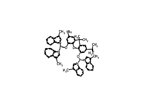 C=C(C)c1cc(OP(n2cc(C)c3ccccc32)n2cc(C)c3ccccc32)c2c(c1)C(C)(C)c1cc(C(C)(C)C)cc(OP(n3cc(C)c4ccccc43)n3cc(C)c4ccccc43)c1O2